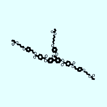 C=CC(=O)OCCCCCCOc1ccc(Oc2nc3cc(OC(=O)C4CCC(C(=O)OCCc5ccc(OCCCCOC(=O)C=C)cc5)CC4)ccc3c3ccc(OC(=O)C4CCC(C(=O)OCCc5ccc(OCCCCOC(=O)C=C)cc5)CC4)cc23)cc1